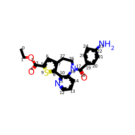 CCOC(=O)c1cc2c(s1)-c1ncccc1N(C(=O)c1ccc(N)cc1)CC2